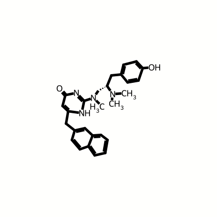 CN(C[C@H](Cc1ccc(O)cc1)N(C)C)c1nc(=O)cc(Cc2ccc3ccccc3c2)[nH]1